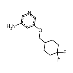 Nc1cncc(OCC2CCC(F)(F)CC2)c1